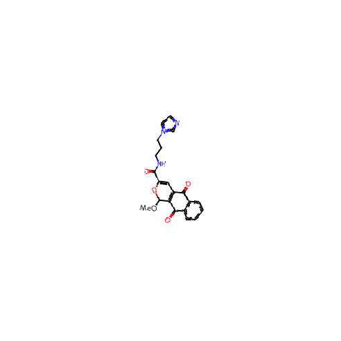 COC1OC(C(=O)NCCCn2ccnc2)=CC2=C1C(=O)c1ccccc1C2=O